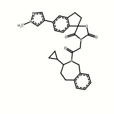 Cn1cc(-c2ccc3c(c2)CCC32OC(=O)N(CC(=O)N3Cc4ccccc4CCC3C3CC3)C2=O)cn1